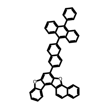 c1ccc(-c2c3ccccc3c(-c3ccc4cc(-c5cc6oc7ccccc7c6c6c5oc5c7ccccc7ccc56)ccc4c3)c3ccccc23)cc1